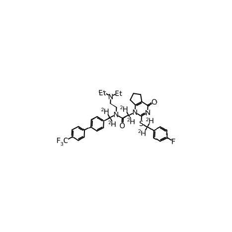 [2H]C([2H])(Sc1nc(=O)c2c(n1C([2H])([2H])C(=O)N(CCN(CC)CC)C([2H])([2H])c1ccc(-c3ccc(C(F)(F)F)cc3)cc1)CCC2)c1ccc(F)cc1